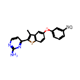 Cc1c(-c2ccnc(N)n2)sc2ccc(Oc3cccc(N=O)c3)cc12